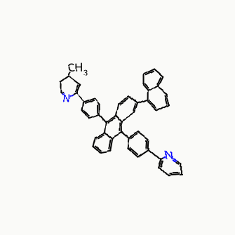 CC1C=C(c2ccc(-c3c4ccccc4c(-c4ccc(-c5ccccn5)cc4)c4cc(-c5cccc6ccccc56)ccc34)cc2)N=CC1